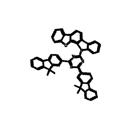 CC1(C)c2ccccc2-c2ccc(-c3nc(-c4ccc5c(c4)C(C)(C)c4ccccc4-5)nc(-n4c5ccccc5c5ccc6c7ccccc7oc6c54)n3)cc21